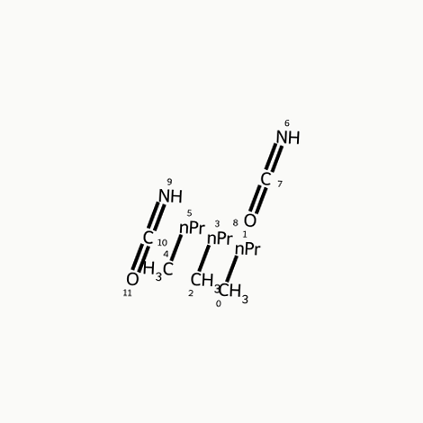 CCCC.CCCC.CCCC.N=C=O.N=C=O